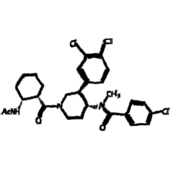 CC(=O)N[C@@H]1CCCC[C@@H]1C(=O)N1CC[C@@H](N(C)C(=O)c2ccc(Cl)cc2)[C@H](c2ccc(Cl)c(Cl)c2)C1